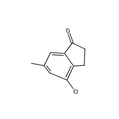 Cc1cc(Cl)c2c(c1)C(=O)CC2